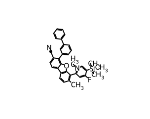 Cc1ccc2c(oc3c(-c4cccc(-c5ccccc5)c4)c(C#N)ccc32)c1-c1cc(F)c([Si](C)(C)C)c[n+]1C